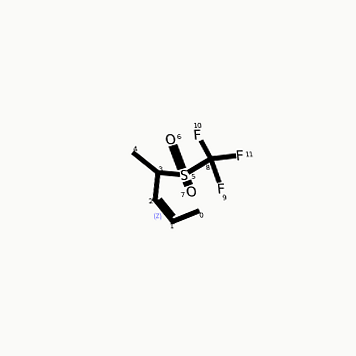 C/C=C\C(C)S(=O)(=O)C(F)(F)F